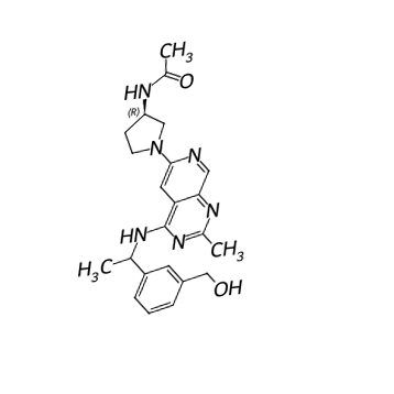 CC(=O)N[C@@H]1CCN(c2cc3c(NC(C)c4cccc(CO)c4)nc(C)nc3cn2)C1